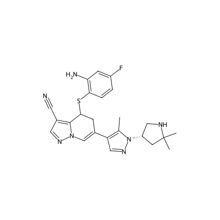 Cc1c(C2=Cn3ncc(C#N)c3C(Sc3ccc(F)cc3N)C2)cnn1[C@@H]1CNC(C)(C)C1